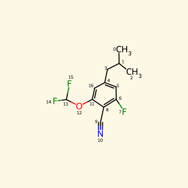 CC(C)Cc1cc(F)c(C#N)c(OC(F)F)c1